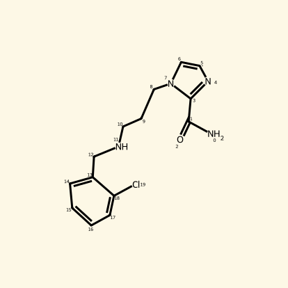 NC(=O)c1n[c]cn1CCCNCc1ccccc1Cl